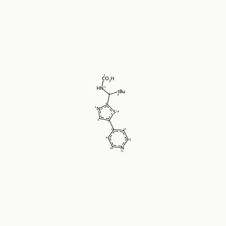 CC(C)(C)C(NC(=O)O)c1ncc(-c2ccncc2)s1